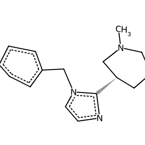 CN1CCC[C@H](c2nccn2Cc2ccccc2)C1